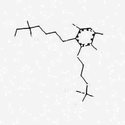 CCC(C)(C)CCCCc1c(O)cc(O)c(O)c1CCCCC(C)(C)C